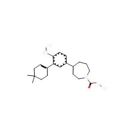 CC1(C)CC=C(c2cc(C3CCCN(C(=O)OC(C)(C)C)CC3)ccc2NC=O)CC1